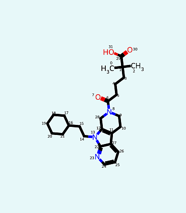 CC(C)(CCCC(=O)N1CCc2c(n(CCC3CCCCC3)c3ncccc23)C1)C(=O)O